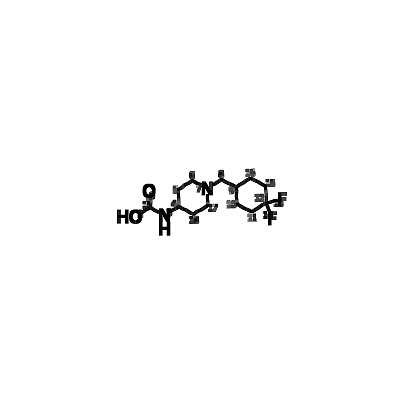 O=C(O)NC1CCN(CC2CCC(F)(F)CC2)CC1